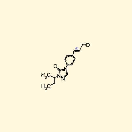 CCC(C)n1ncn(-c2ccc(/C=C/C=O)cc2)c1=O